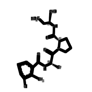 Cc1c(Cl)cccc1C(=O)N[C@H](C(=O)N1CCC[C@H]1C(=O)N[C@H](C=O)CC(=O)O)C(C)C